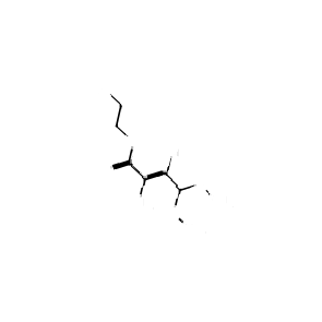 CCCOC(=O)C(C)=C([SiH3])C(OC)OC